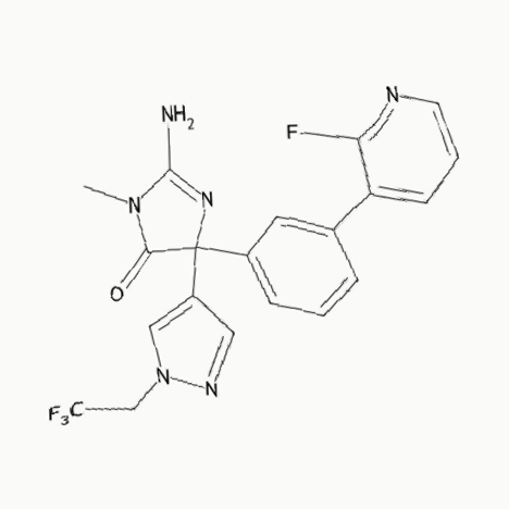 CN1C(=O)C(c2cccc(-c3cccnc3F)c2)(c2cnn(CC(F)(F)F)c2)N=C1N